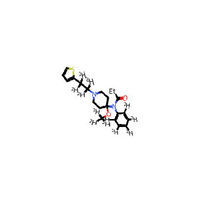 [2H]c1c([2H])c([2H])c(N(C(=O)CC)C2(OC([2H])([2H])[2H])CCN(C([2H])([2H])C([2H])([2H])c3cccs3)CC2)c([2H])c1[2H]